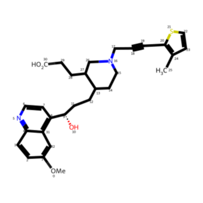 COc1ccc2nccc([C@@H](O)CCC3CCN(CC#Cc4sccc4C)CC3CCC(=O)O)c2c1